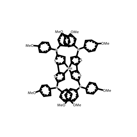 COc1ccc(N(c2ccc(OC)cc2)c2cc3c(s2)-c2sc(N(c4ccc(OC)cc4)c4ccc(OC)cc4)cc2[PH]32c3cc(N(c4ccc(OC)cc4)c4ccc(OC)cc4)sc3-c3sc(N(c4ccc(OC)cc4)c4ccc(OC)cc4)cc32)cc1